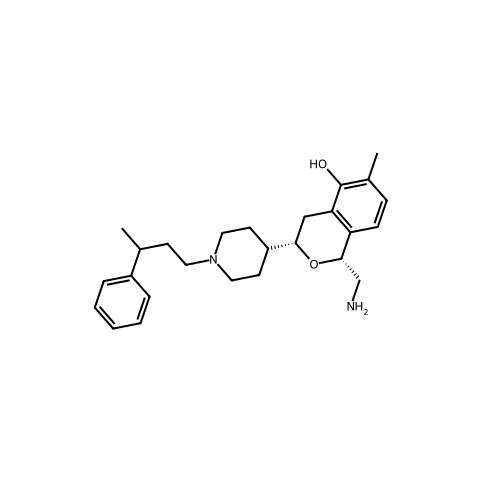 Cc1ccc2c(c1O)C[C@@H](C1CCN(CCC(C)c3ccccc3)CC1)O[C@H]2CN